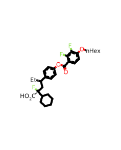 CCCCCCOc1ccc(C(=O)Oc2ccc(C(CC)C[C@@](F)(C(=O)O)C3CCCCC3)cc2)c(F)c1F